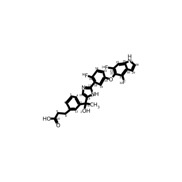 CC(O)(c1cccc(CCC(=O)O)c1)c1cnc(-c2cc(Oc3c(F)cc4[nH]ccc4c3F)ccc2F)[nH]1